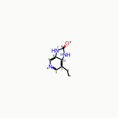 CCc1cncc2[nH]c(=O)[nH]c12